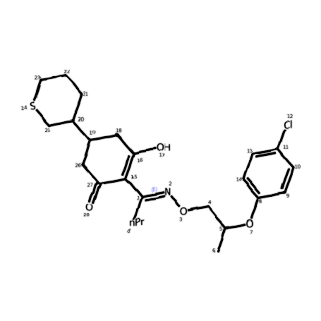 CCC/C(=N\OCC(C)Oc1ccc(Cl)cc1)C1=C(O)CC(C2CCCSC2)CC1=O